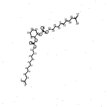 CC(C)CCCCCCCCCCOC(=O)OC1CCCCC1OC(=O)OCCCCCCCCCC(C)C